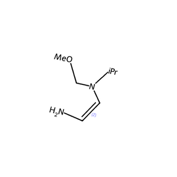 COCN(/C=C\N)C(C)C